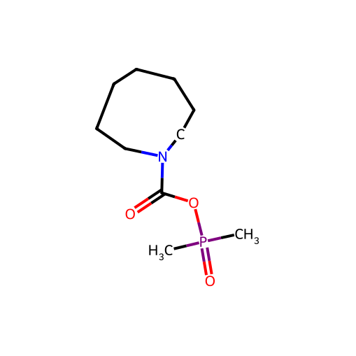 CP(C)(=O)OC(=O)N1CCCCCCC1